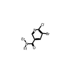 CCN(CC)C(=O)c1cnc(Cl)c(Br)c1